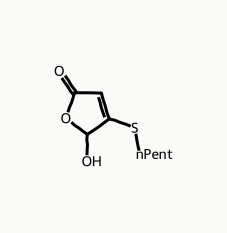 CCCCCSC1=CC(=O)OC1O